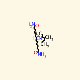 CCCC(C)C(N)CC.NC(=O)CCCCCCCCCCCCC(N)=O